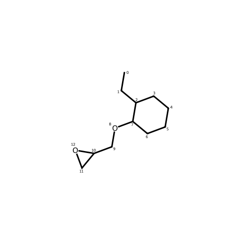 CCC1CCCCC1OCC1CO1